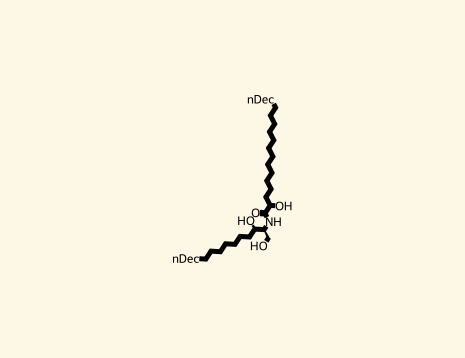 CCCCCCCCCCCCCCCCCCCCCCC(O)C(=O)N[C@@H](CO)[C@H](O)CCCCCCCCCCCCCCCCC